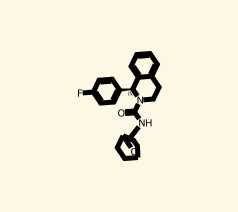 O=C(NC1CC2CCC1CC2)N1CCc2ccccc2[C@@H]1c1ccc(F)cc1